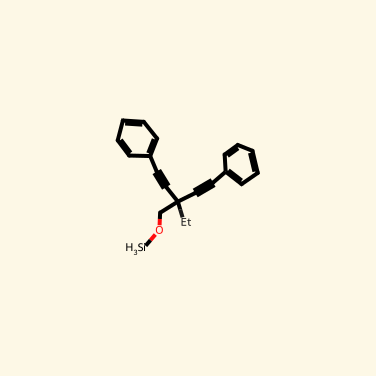 CCC(C#Cc1ccccc1)(C#Cc1ccccc1)CO[SiH3]